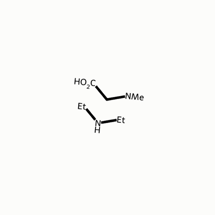 CCNCC.CNCC(=O)O